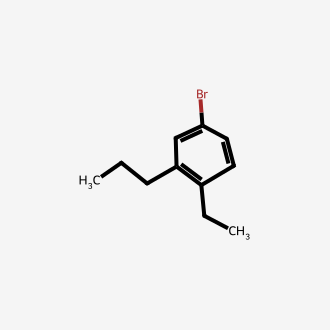 CCCc1cc(Br)ccc1CC